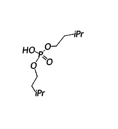 CC(C)CCOP(=O)(O)OCCC(C)C